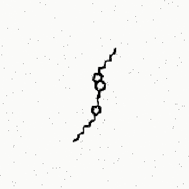 CCCCCCCCc1ccc(C#Cc2ccc3cc(CCCCCCC)ccc3c2)cc1